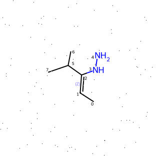 C/C=C(\NN)C(C)C